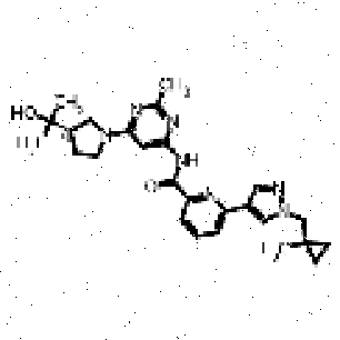 Cc1nc(NC(=O)c2cccc(-c3cnn(CC4(C(F)(F)F)CC4)c3)n2)cc(N2CC[C@@H](C(C)(C)O)C2)n1